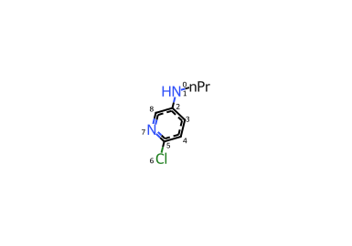 CCCNc1ccc(Cl)nc1